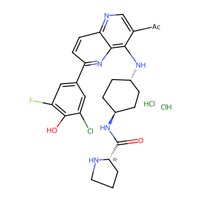 CC(=O)c1cnc2ccc(-c3cc(F)c(O)c(Cl)c3)nc2c1N[C@H]1CC[C@H](NC(=O)[C@@H]2CCCN2)CC1.Cl.Cl